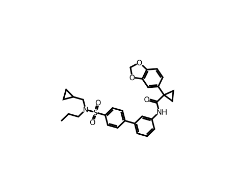 CCCN(CC1CC1)S(=O)(=O)c1ccc(-c2cccc(NC(=O)C3(c4ccc5c(c4)OCO5)CC3)c2)cc1